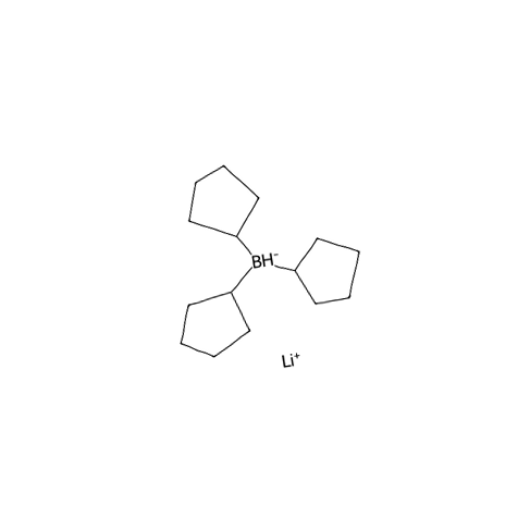 C1CCC([BH-](C2CCCC2)C2CCCC2)C1.[Li+]